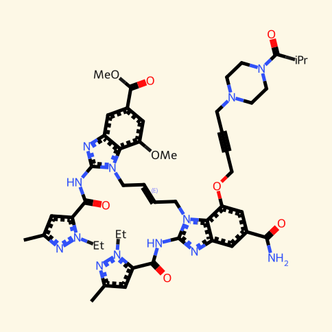 CCn1nc(C)cc1C(=O)Nc1nc2cc(C(=O)OC)cc(OC)c2n1C/C=C/Cn1c(NC(=O)c2cc(C)nn2CC)nc2cc(C(N)=O)cc(OCC#CCN3CCN(C(=O)C(C)C)CC3)c21